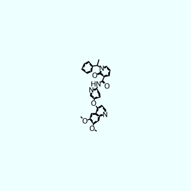 COc1cc2nccc(Oc3ccc(NC(=O)c4cccn(C(C)c5ccccc5)c4=O)nc3)c2cc1OC